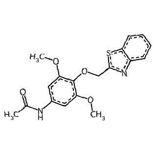 COc1cc(NC(C)=O)cc(OC)c1OCc1nc2ccccc2s1